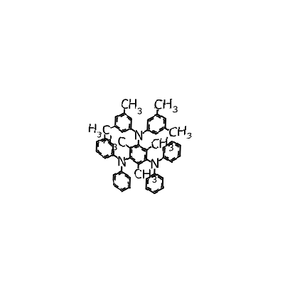 Cc1cc(C)cc(N(c2cc(C)cc(C)c2)c2c(C)c(N(c3ccccc3)c3ccccc3)c(C)c(N(c3ccccc3)c3ccccc3)c2C)c1